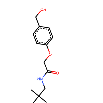 CC(C)(C)CNC(=O)COc1ccc(CO)cc1